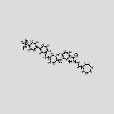 O=C(NCCN1CCCCCC1)c1cccc(OC2CCN(Cc3cccc(-c4ccc(C(F)(F)F)cc4)c3)CC2)c1